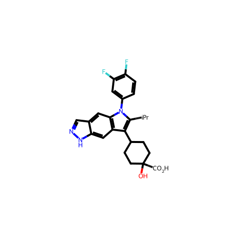 CC(C)c1c(C2CCC(O)(C(=O)O)CC2)c2cc3[nH]ncc3cc2n1-c1ccc(F)c(F)c1